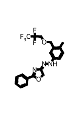 Cc1ccc(NN=C2COC(c3ccccc3)=N2)cc1COCC(F)(F)C(F)(F)F